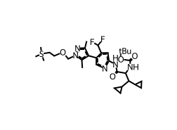 Cc1nn(COCCS(C)(C)C)c(C)c1-c1cnc(NC(=O)C(NC(=O)OC(C)(C)C)C(C2CC2)C2CC2)cc1C(F)F